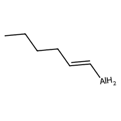 CCCCC=[CH][AlH2]